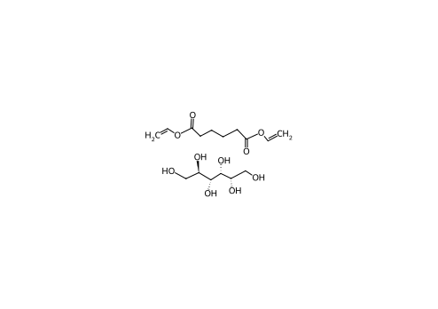 C=COC(=O)CCCCC(=O)OC=C.OC[C@@H](O)[C@@H](O)[C@H](O)[C@@H](O)CO